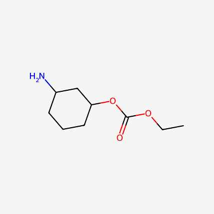 CCOC(=O)OC1CCCC(N)C1